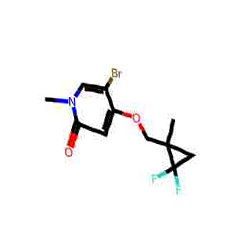 Cn1cc(Br)c(OCC2(C)CC2(F)F)cc1=O